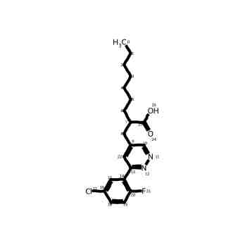 CCCCCCCC(Cc1cnnc(-c2cc(Cl)ccc2F)c1)C(=O)O